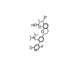 COc1cc(-c2ccc(C3CCc4ccc([C@H](C5CC5)[C@H](C)C(=O)O)cc4O3)cc2CN(C(C)C)C(C)C)c(F)cn1